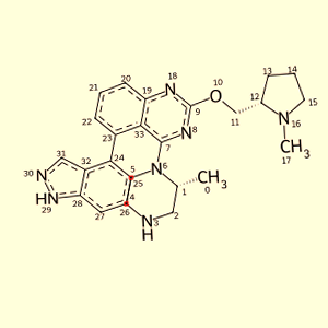 C[C@@H]1CNCCN1c1nc(OC[C@@H]2CCCN2C)nc2cccc(-c3cccc4[nH]ncc34)c12